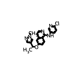 C[C@@H](Oc1ccc2c(Nc3ccc(Cl)nc3)nccc2c1)c1cnn(C)c1